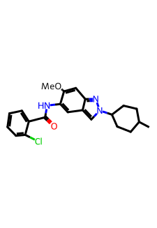 COc1cc2nn(C3CCC(C)CC3)cc2cc1NC(=O)c1ccccc1Cl